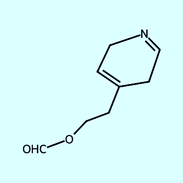 O=COCCC1=CCN=CC1